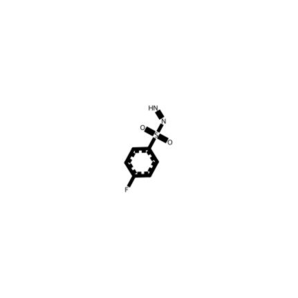 N=NS(=O)(=O)c1ccc(F)cc1